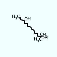 CC=CC(O)CCCCCCCCCC(C)(C)O